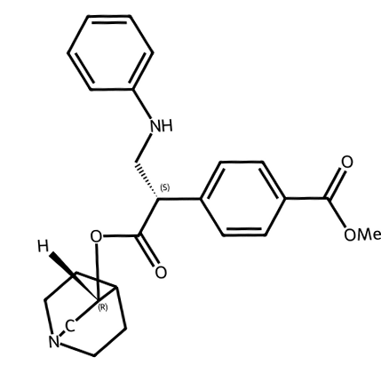 COC(=O)c1ccc([C@@H](CNc2ccccc2)C(=O)O[C@H]2CN3CCC2CC3)cc1